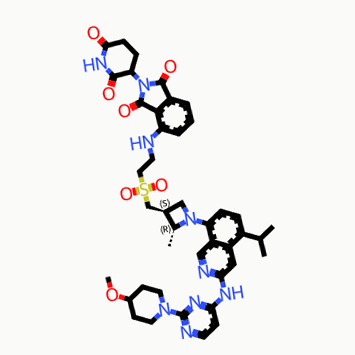 COC1CCN(c2nccc(Nc3cc4c(C(C)C)ccc(N5C[C@H](CS(=O)(=O)CCNc6cccc7c6C(=O)N(C6CCC(=O)NC6=O)C7=O)[C@H]5C)c4cn3)n2)CC1